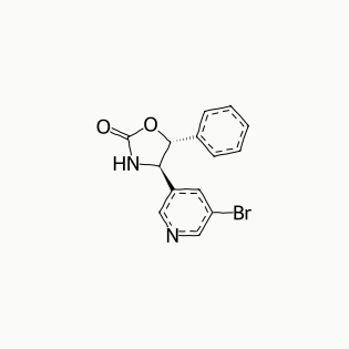 O=C1N[C@H](c2cncc(Br)c2)[C@@H](c2ccccc2)O1